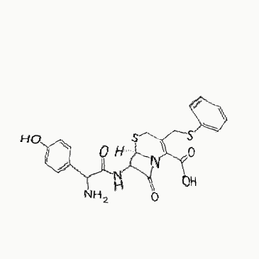 NC(C(=O)NC1C(=O)N2C(C(=O)O)=C(CSc3ccccc3)CS[C@H]12)c1ccc(O)cc1